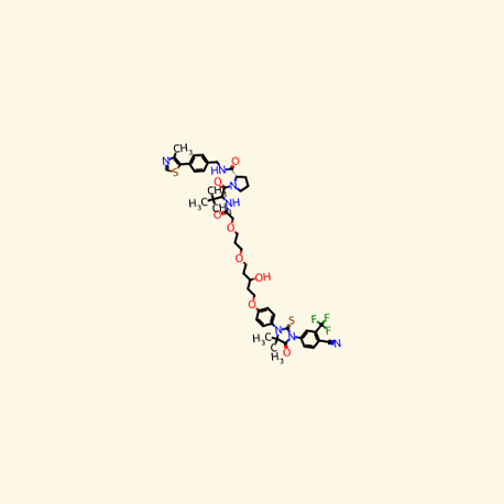 Cc1ncsc1-c1ccc(CNC(=O)[C@@H]2CCCN2C(=O)C(NC(=O)COCCCOCCC(O)CCOc2ccc(N3C(=S)N(c4ccc(C#N)c(C(F)(F)F)c4)C(=O)C3(C)C)cc2)C(C)(C)C)cc1